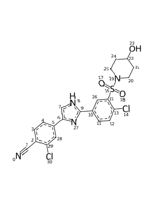 N#Cc1ccc(-c2c[nH]c(-c3ccc(Cl)c(S(=O)(=O)N4CCC(O)CC4)c3)n2)cc1Cl